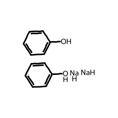 Oc1ccccc1.Oc1ccccc1.[NaH].[NaH]